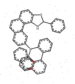 c1ccc(C2Nc3c(ccc4ccc5ccc(N(c6ccccc6)c6ccccc6-c6cccc7sc8ccccc8c67)cc5c34)O2)cc1